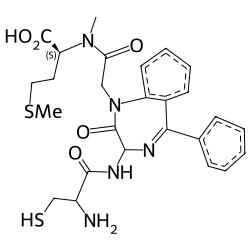 CSCC[C@@H](C(=O)O)N(C)C(=O)CN1C(=O)C(NC(=O)C(N)CS)N=C(c2ccccc2)c2ccccc21